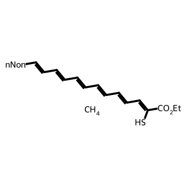 C.CCCCCCCCCC=CC=CC=CC=CC=CC=C(S)C(=O)OCC